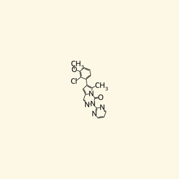 COc1cccc(-c2cc3cnn(-c4ncccn4)c(=O)n3c2C)c1Cl